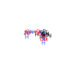 CCCN(CCNC[C@H](O[Si](C)(C)C(C)(C)C)c1ccc(O)c2[nH]c(=O)ccc12)C(=O)CCOCCc1ccc(CCN2CC3CC(OC(=O)Nc4ccccc4-c4ccccc4)CC3C2)cc1